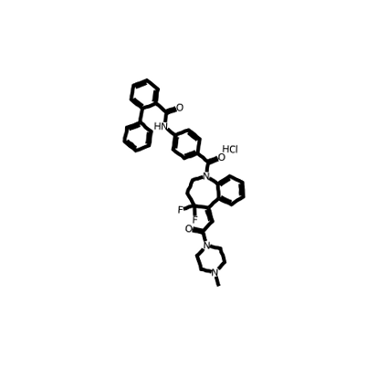 CN1CCN(C(=O)C=C2c3ccccc3N(C(=O)c3ccc(NC(=O)c4ccccc4-c4ccccc4)cc3)CCC2(F)F)CC1.Cl